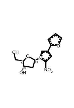 O=[N+]([O-])c1cc(-c2ccco2)cn1[C@H]1C[C@H](O)[C@@H](CO)O1